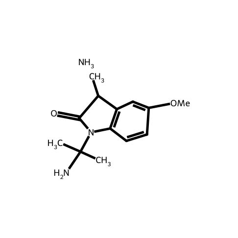 COc1ccc2c(c1)C(C)C(=O)N2C(C)(C)N.N